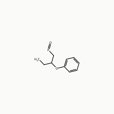 CCC(CP=O)Oc1ccccc1